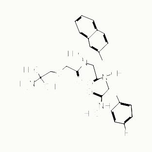 CNC(=O)[C@@H](Cc1ccc(F)cc1)N(C)C(=O)[C@@H](Cc1ccc2ccccc2c1)N(C)C(=O)COCC(C)(C)N